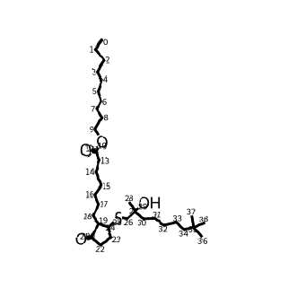 CCCCCCCCCCOC(=O)CCCCCCC1C(=O)CCC1SCC(C)(O)CCCCCC(C)(C)C